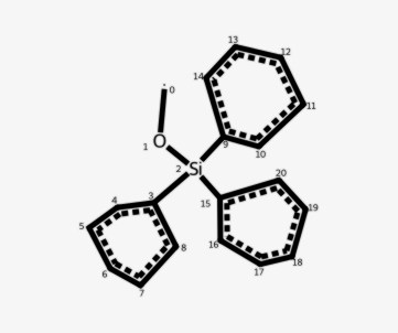 [CH2]O[Si](c1ccccc1)(c1ccccc1)c1ccccc1